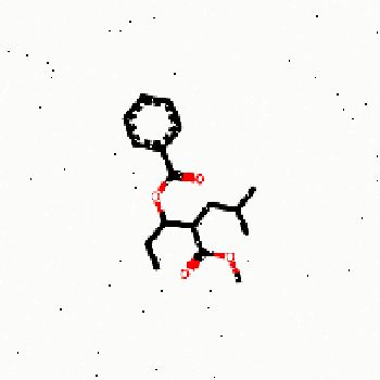 CCC(OC(=O)c1ccccc1)C(CC(C)C)C(=O)OC